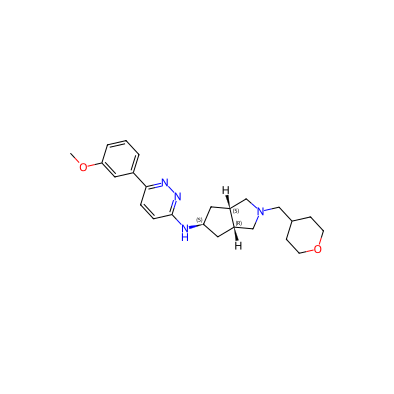 COc1cccc(-c2ccc(N[C@H]3C[C@@H]4CN(CC5CCOCC5)C[C@@H]4C3)nn2)c1